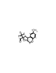 Cc1ccc2c(c1)C(CC(O)(C=O)C(F)(F)F)CCO2